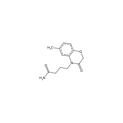 Cc1ccc2c(c1)N(CCCC(N)=O)C(=O)CO2